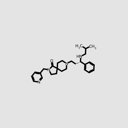 CC(C)CN[C@@H](CCN1CCC2(CC1)CCN(Cc1cccnc1)C2=O)c1ccccc1